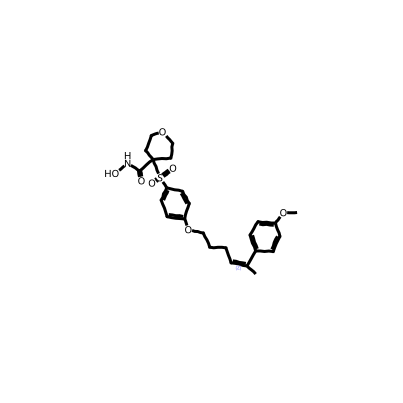 COc1ccc(/C(C)=C\CCCOc2ccc(S(=O)(=O)C3(C(=O)NO)CCOCC3)cc2)cc1